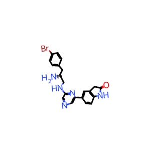 N[C@@H](CNc1cncc(-c2ccc3c(c2)CC(=O)N3)n1)Cc1ccc(Br)cc1